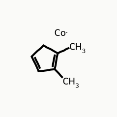 CC1=C(C)CC=C1.[Co]